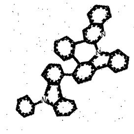 c1ccc(-n2c3ccccc3c3c(-c4ccc5c6ccccc6n6c5c4-c4ccccc4-c4cc5ccccc5nc4-6)cccc32)cc1